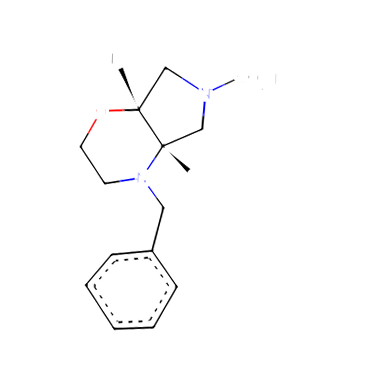 O=C(O)N1C[C@H]2OCCN(Cc3ccccc3)[C@H]2C1